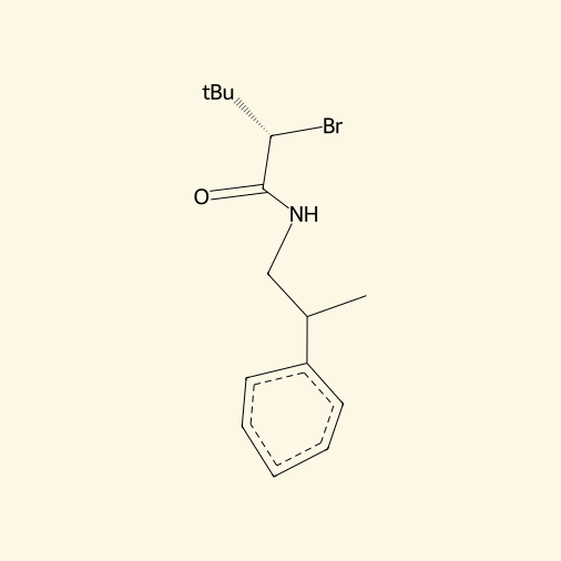 CC(CNC(=O)[C@@H](Br)C(C)(C)C)c1ccccc1